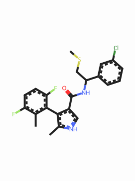 CSCC(NC(=O)c1c[nH]c(C)c1-c1c(F)ccc(F)c1C)c1cccc(Cl)c1